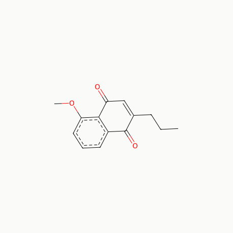 CCCC1=CC(=O)c2c(OC)cccc2C1=O